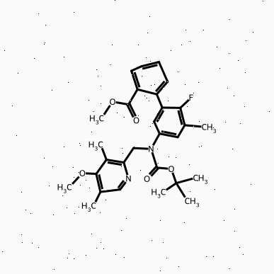 COC(=O)c1ccccc1-c1cc(N(Cc2ncc(C)c(OC)c2C)C(=O)OC(C)(C)C)cc(C)c1F